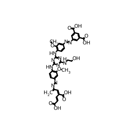 C=C(/C=C(\C=C\C(=O)O)C(=O)O)N=Nc1ccc(Nc2nc(NCCO)nc(Nc3ccc(N=Nc4cc(C(=O)O)cc(C(=O)O)c4)cc3OC)n2)c(OC)c1